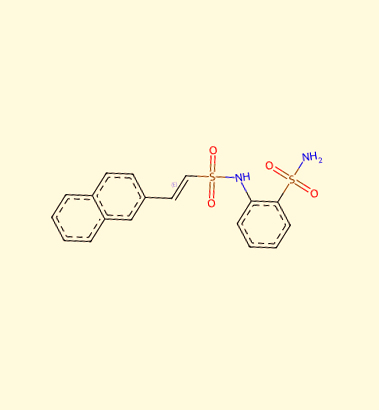 NS(=O)(=O)c1ccccc1NS(=O)(=O)/C=C/c1ccc2ccccc2c1